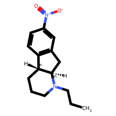 CCCN1CCC[C@@H]2c3ccc([N+](=O)[O-])cc3C[C@H]21